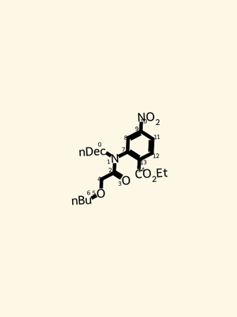 CCCCCCCCCCN(C(=O)COCCCC)c1cc([N+](=O)[O-])ccc1C(=O)OCC